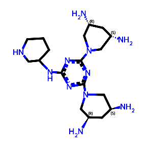 N[C@@H]1C[C@H](N)CN(c2nc(NC3CCCNC3)nc(N3C[C@H](N)C[C@H](N)C3)n2)C1